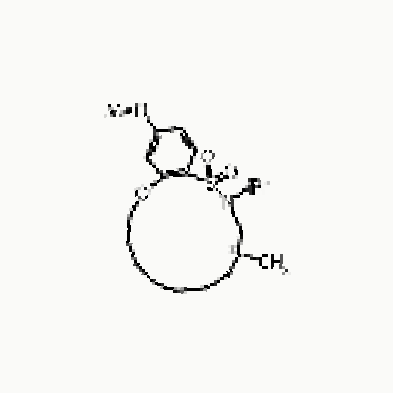 COc1ccc2c(c1)OCCCCCCC[C@H](C)CN(C(C)C)S2(=O)=O